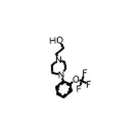 OCCN1CCN(c2ccccc2OC(F)(F)F)CC1